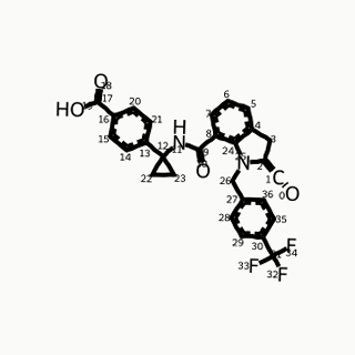 O=C=C1Cc2cccc(C(=O)NC3(c4ccc(C(=O)O)cc4)CC3)c2N1Cc1ccc(C(F)(F)F)cc1